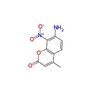 Cc1cc(=O)oc2c([N+](=O)[O-])c(N)ccc12